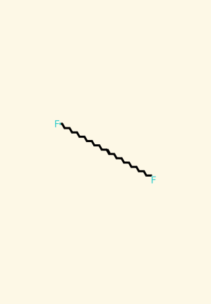 FCCCCCCCCCCCC=CCCCCCCCCCCCCF